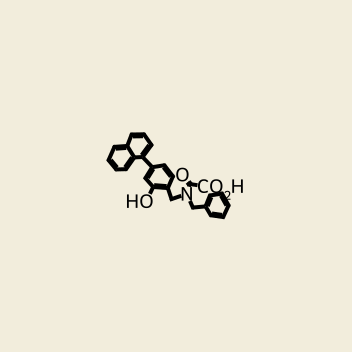 O=C(O)C(=O)N(Cc1ccccc1)Cc1ccc(-c2cccc3ccccc23)cc1O